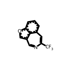 FC(F)(F)C1=Cc2cccc3occ(c23)C=N1